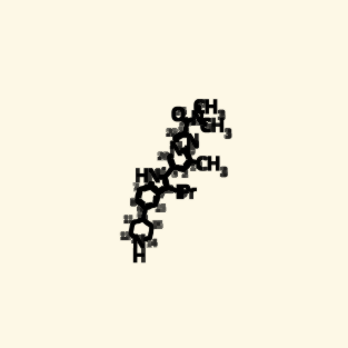 Cc1cc(-c2[nH]c3ccc(C4CCNCC4)cc3c2C(C)C)cn2cc(C(=O)N(C)C)nc12